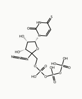 [N-]=[N+]=NC1(COP(=O)(O)OP(=O)(O)OP(=O)(O)O)O[C@@H](n2ccc(=S)[nH]c2=O)[C@@H](O)[C@H]1O